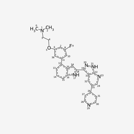 CN(C)CCOc1cc(F)cc(-c2cccc3[nH]c(-c4n[nH]c5ncc(-c6ccncc6)cc45)cc23)c1